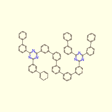 C1=CC(c2cccc(-c3nc(-c4cccc(-c5ccccc5)c4)nc(-c4cccc(-c5cccc(-c6cccc(-c7cccc(-c8cccc(-c9nc(-c%10cccc(-c%11ccccc%11)c%10)nc(-c%10cccc(-c%11ccccc%11)c%10)n9)c8)c7)c6)c5)c4)n3)c2)=CCC1